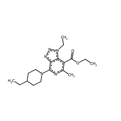 CCOC(=O)c1c(C)nc(N2CCC(CC)CC2)c2nnn(CC)c12